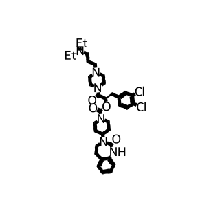 CCN(CC)CCCN1CCN(C(=O)[C@@H](Cc2ccc(Cl)c(Cl)c2)OC(=O)N2CCC(N3CCc4ccccc4NC3=O)CC2)CC1